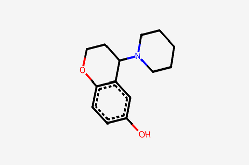 Oc1ccc2c(c1)C(N1CCCCC1)CCO2